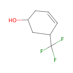 OC1CC=CC(C(F)(F)F)C1